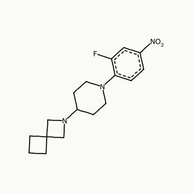 O=[N+]([O-])c1ccc(N2CCC(N3CC4(CCC4)C3)CC2)c(F)c1